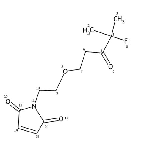 CCC(C)(C)C(=O)CCOCCN1C(=O)C=CC1=O